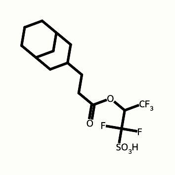 O=C(CCC1CC2CCCC(C2)C1)OC(C(F)(F)F)C(F)(F)S(=O)(=O)O